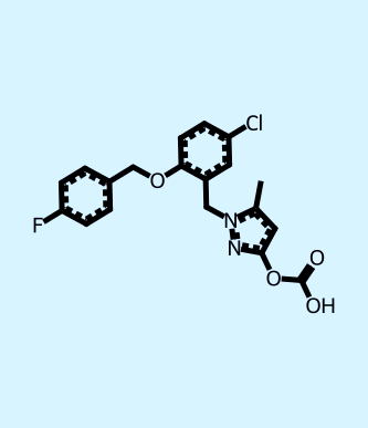 Cc1cc(OC(=O)O)nn1Cc1cc(Cl)ccc1OCc1ccc(F)cc1